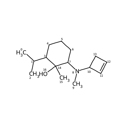 CC(C)C1CCCC(N(C)C2C=CC2)C1(C)O